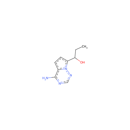 CCC(O)c1ccc2c(N)ncnn12